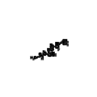 CCCCC(=O)Nc1cncc(-c2ccc3[nH]nc(-c4cc5c(-c6cc(F)cc(NCCN(C)C)c6)cncc5[nH]4)c3n2)c1